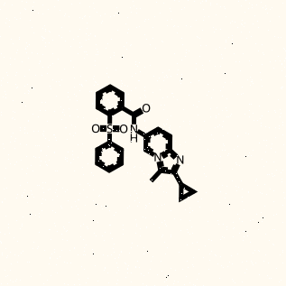 Cc1c(C2CC2)nc2ccc(NC(=O)c3ccccc3S(=O)(=O)c3ccccc3)cn12